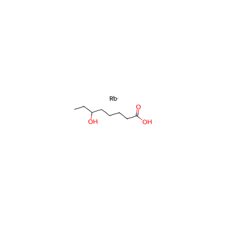 CCC(O)CCCCC(=O)O.[Rb]